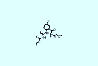 CCOC(=O)NC(=S)Nc1ncc(Br)cc1C(=O)N[C@@H](C)COC